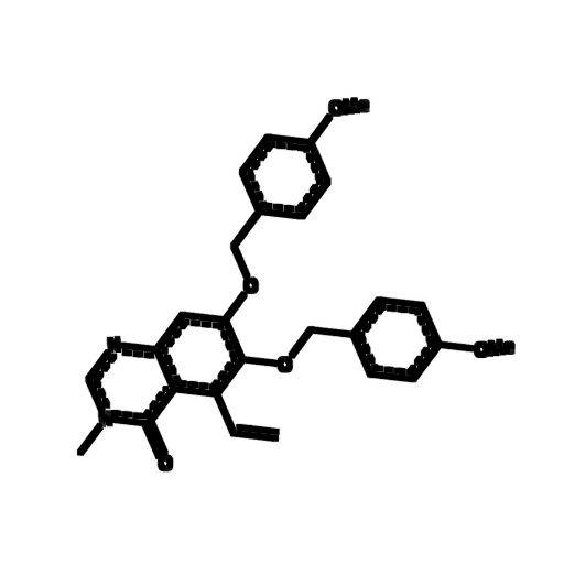 C=Cc1c(OCc2ccc(OC)cc2)c(OCc2ccc(OC)cc2)cc2ncn(C)c(=O)c12